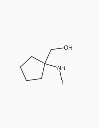 OCC1(NI)CCCC1